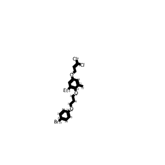 CCc1cc(OCC=C(Cl)Cl)cc(C)c1OCCCOc1ccc(Br)cc1